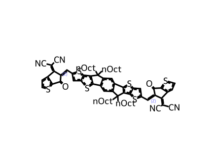 CCCCCCCCC1(CCCCCCCC)c2cc3c(cc2-c2sc4cc(/C=C5\C(=O)c6sccc6C5=C(C#N)C#N)sc4c21)C(CCCCCCCC)(CCCCCCCC)c1c-3sc2cc(/C=C3\C(=O)c4sccc4C3=C(C#N)C#N)sc12